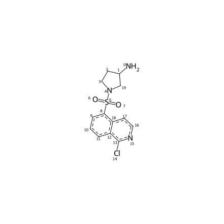 NC1CCN(S(=O)(=O)c2cccc3c(Cl)nccc23)C1